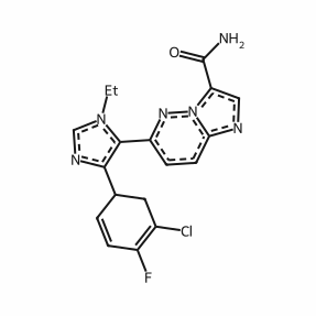 CCn1cnc(C2C=CC(F)=C(Cl)C2)c1-c1ccc2ncc(C(N)=O)n2n1